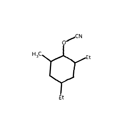 CCC1CC(C)C(OC#N)C(CC)C1